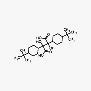 CC(C)(C)C1CCC(C(O)(C(=O)O)C(O)(C(=O)O)C2CCC(C(C)(C)C)CC2)CC1